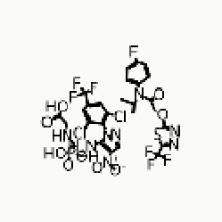 CC(C)N(C(=O)COc1nnc(C(F)(F)F)s1)c1ccc(F)cc1.Nc1c([N+](=O)[O-])cnn1-c1c(Cl)cc(C(F)(F)F)cc1Cl.O=C(O)CNCP(=O)(O)O